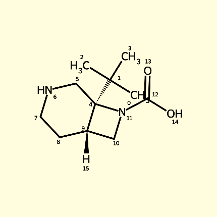 CC(C)(C)[C@@]12CNCC[C@H]1CN2C(=O)O